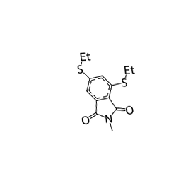 CCSc1cc(SCC)c2c(c1)C(=O)N(C)C2=O